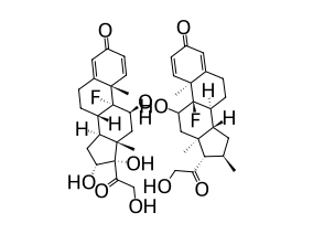 C[C@@H]1C[C@H]2[C@@H]3CCC4=CC(=O)C=C[C@]4(C)[C@@]3(F)C(O)C[C@]2(C)[C@H]1C(=O)CO.C[C@]12C=CC(=O)C=C1CC[C@H]1[C@@H]3C[C@@H](O)[C@](O)(C(=O)CO)[C@@]3(C)C[C@H](O)[C@@]12F